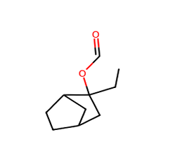 CCC1(OC=O)CC2CCC1C2